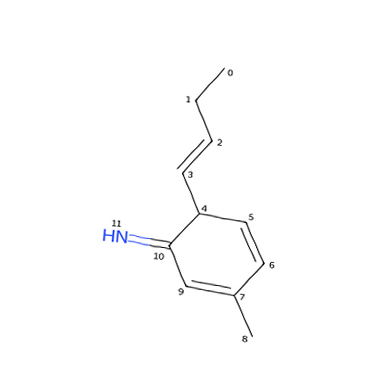 CCC=CC1C=CC(C)=CC1=N